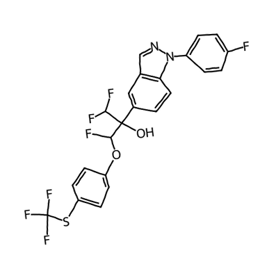 OC(c1ccc2c(cnn2-c2ccc(F)cc2)c1)(C(F)F)C(F)Oc1ccc(SC(F)(F)F)cc1